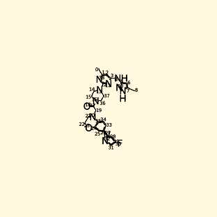 Cc1cc(Nc2cc(C)[nH]n2)nc(N2CCN(C(=O)CN3CCOc4cc(-n5cc(F)cn5)ccc43)CC2)n1